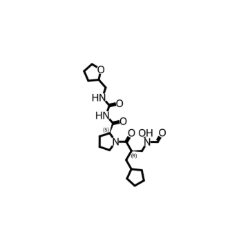 O=CN(O)C[C@@H](CC1CCCC1)C(=O)N1CCC[C@H]1C(=O)NC(=O)NCC1CCCO1